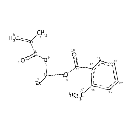 C=C(C)C(=O)OC(CC)OC(=O)c1ccccc1C(=O)O